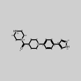 O=C(C1CCN(c2ccc(-c3cn[nH]c3)cc2)CC1)N1CCNCC1